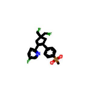 CS(=O)(=O)c1ccc(C2=C(c3ccc(F)cn3)CC(CF)(CF)C2)cc1